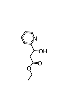 CCOC(=O)CC(O)c1ccccn1